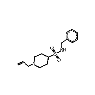 C=CCN1CCC(S(=O)(=O)NCc2ccccc2)CC1